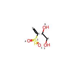 C=C[SH](=O)=O.OCCO